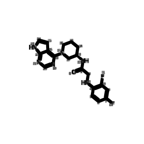 O=C(CNc1ccc(F)cc1F)N[C@@H]1CCCN(c2ncnc3[nH]ccc23)C1